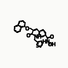 O=C(NCc1cccs1)C(=Cc1ccc(C(=O)NO)cc1)COc1cccc2ccccc12